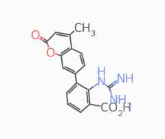 Cc1cc(=O)oc2cc(-c3cccc(C(=O)O)c3NC(=N)N)ccc12